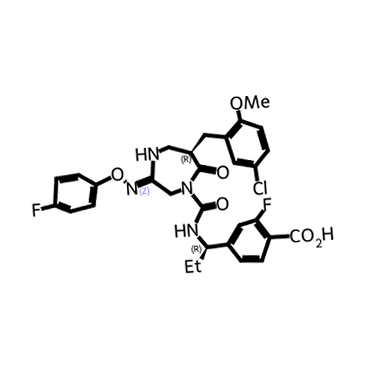 CC[C@@H](NC(=O)N1C/C(=N/Oc2ccc(F)cc2)NC[C@@H](Cc2cc(Cl)ccc2OC)C1=O)c1ccc(C(=O)O)c(F)c1